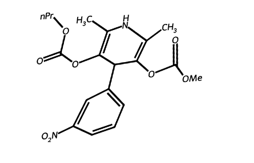 CCCOC(=O)OC1=C(C)NC(C)=C(OC(=O)OC)C1c1cccc([N+](=O)[O-])c1